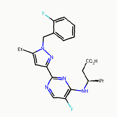 CCc1cc(-c2ncc(F)c(N[C@@H](CC(=O)O)C(C)C)n2)nn1Cc1ccccc1F